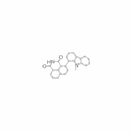 Cn1c2ccccc2c2cccc(-c3ccc4cccc5c4c3C(=O)NC5=O)c21